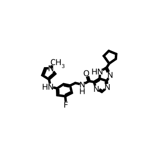 Cn1ccc(Nc2cc(F)cc(CNC(=O)c3ncnc4nc(C5CCCC5)[nH]c34)c2)c1